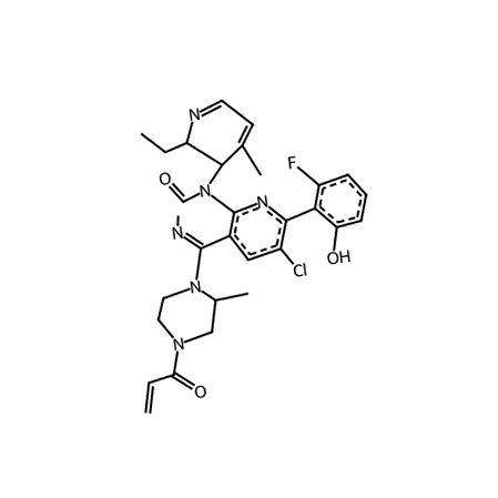 C=CC(=O)N1CCN(/C(=N/C)c2cc(Cl)c(-c3c(O)cccc3F)nc2N(C=O)C2C(C)=CC=NC2CC)C(C)C1